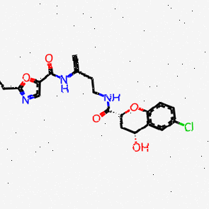 C=C(CCNC(=O)[C@H]1C[C@@H](O)c2cc(Cl)ccc2O1)NC(=O)c1cnc(CC)o1